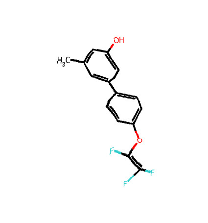 Cc1cc(O)cc(-c2ccc(OC(F)=C(F)F)cc2)c1